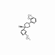 COc1cccc(C2(C#N)CCN(c3ncccc3OC)CC2)c1